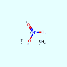 O=[N+]([O-])[O-].[SiH4].[Ti]